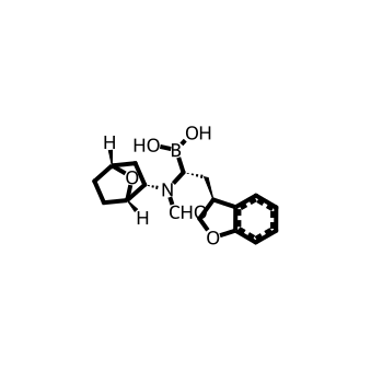 O=CN([C@@H](C[C@@H]1COc2ccccc21)B(O)O)[C@H]1C[C@H]2CC[C@@H]1O2